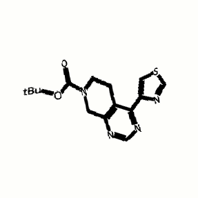 CC(C)(C)OC(=O)N1CCc2c(ncnc2-c2cscn2)C1